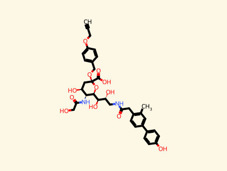 C#CCOc1ccc(CO[C@]2(C(=O)O)C[C@H](O)[C@@H](NC(=O)CO)[C@H]([C@H](O)[C@H](O)CNC(=O)Cc3ccc(-c4ccc(O)cc4)cc3C)O2)cc1